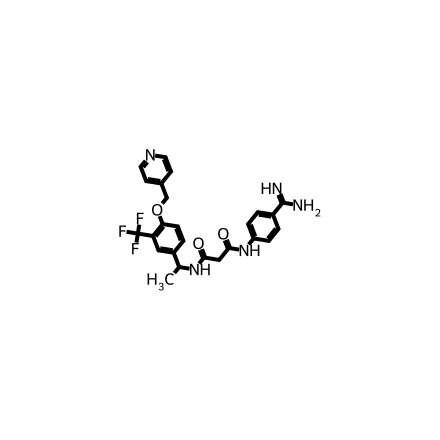 CC(NC(=O)CC(=O)Nc1ccc(C(=N)N)cc1)c1ccc(OCc2ccncc2)c(C(F)(F)F)c1